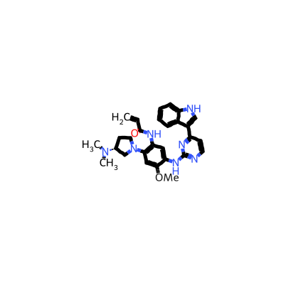 C=CC(=O)Nc1cc(Nc2nccc(-c3c[nH]c4ccccc34)n2)c(OC)cc1N1CC[C@@H](N(C)C)C1